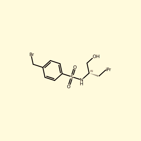 CC(C)C[C@@H](CO)NS(=O)(=O)c1ccc(CBr)cc1